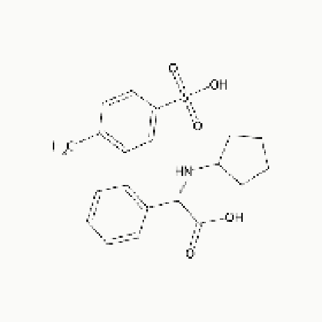 Cc1ccc(S(=O)(=O)O)cc1.O=C(O)[C@@H](NC1CCCC1)c1ccccc1